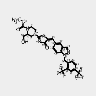 COC(=O)N1CCN(C2=NC(=O)/C(=C\c3ccc4c(cnn4Cc4ccc(C(F)(F)F)cc4C(F)(F)F)c3)S2)CC1CO